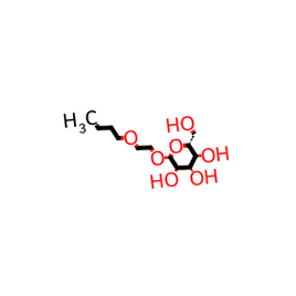 CCCCOCCO[C@H]1O[C@H](CO)[C@@H](O)[C@H](O)[C@H]1O